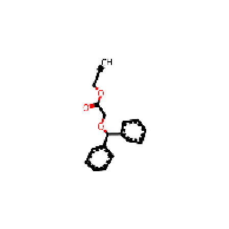 C#CCOC(=O)COC(c1ccccc1)c1ccccc1